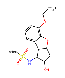 CCCCCCS(=O)(=O)NC1C(O)CC2Oc3c(OCC(=O)O)cccc3C21